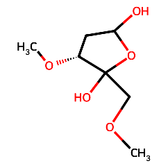 COCC1(O)OC(O)C[C@H]1OC